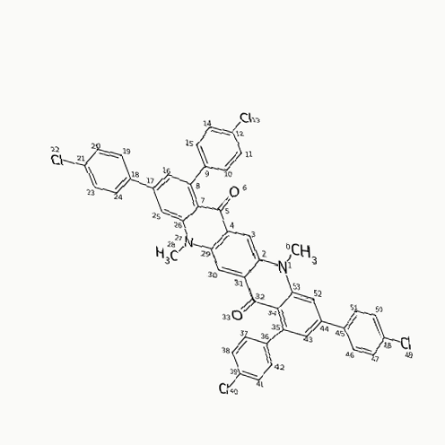 Cn1c2cc3c(=O)c4c(-c5ccc(Cl)cc5)cc(-c5ccc(Cl)cc5)cc4n(C)c3cc2c(=O)c2c(-c3ccc(Cl)cc3)cc(-c3ccc(Cl)cc3)cc21